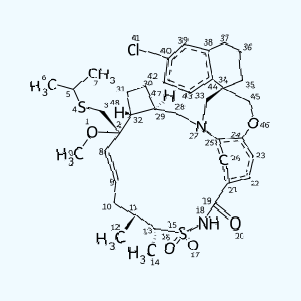 CO[C@@]1(CSC(C)C)/C=C/C[C@H](C)[C@@H](C)S(=O)(=O)NC(=O)c2ccc3c(c2)N(C[C@@H]2CC[C@H]21)C[C@@]1(CCCc2cc(Cl)ccc21)CO3